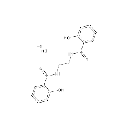 Cl.Cl.O=C(NCCNC(=O)c1ccccc1O)c1ccccc1O